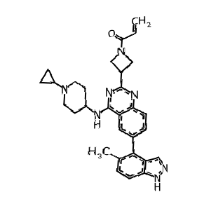 C=CC(=O)N1CC(c2nc(NC3CCN(C4CC4)CC3)c3cc(-c4c(C)ccc5[nH]ncc45)ccc3n2)C1